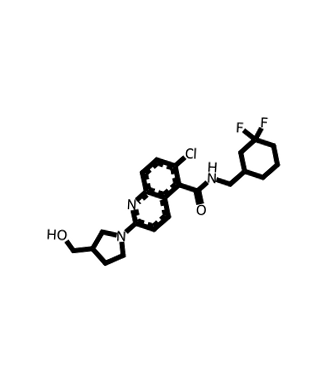 O=C(NCC1CCCC(F)(F)C1)c1c(Cl)ccc2nc(N3CCC(CO)C3)ccc12